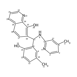 Cc1ccnc(NC(c2cc(C)ccc2O)c2ccc3cccnc3c2O)c1